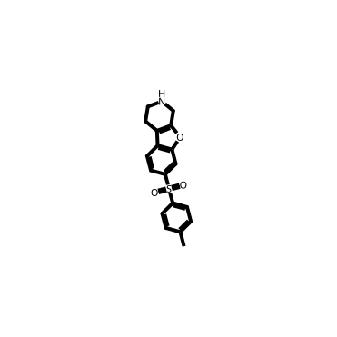 Cc1ccc(S(=O)(=O)c2ccc3c4c(oc3c2)CNCC4)cc1